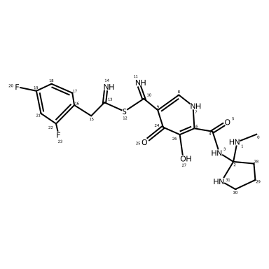 CNC1(NC(=O)c2[nH]cc(C(=N)SC(=N)Cc3ccc(F)cc3F)c(=O)c2O)CCCN1